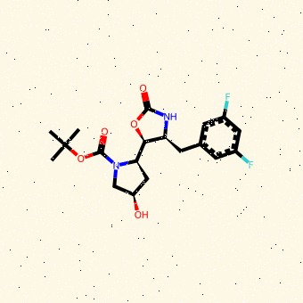 CC(C)(C)OC(=O)N1C[C@H](O)C[C@@H]1[C@H]1OC(=O)N[C@H]1Cc1cc(F)cc(F)c1